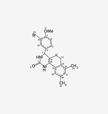 COc1ccc(C2NC(=O)NC3=C2CCc2c(C)cc(C)cc23)cc1Br